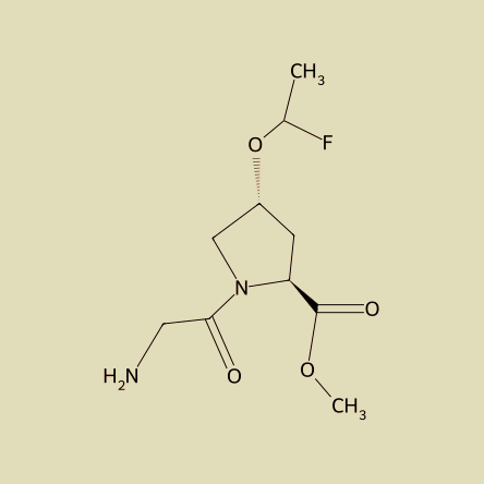 COC(=O)[C@@H]1C[C@@H](OC(C)F)CN1C(=O)CN